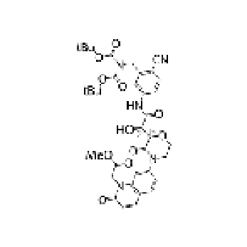 COC(=O)Cn1c(=O)ccc2ccc(N3CCO[C@H]([C@@H](O)C(=O)Nc4ccc(C#N)c(CN(C(=O)OC(C)(C)C)C(=O)OC(C)(C)C)c4)C3=O)cc21